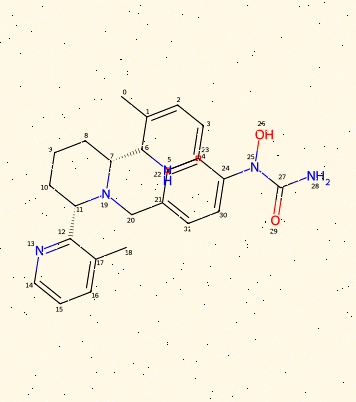 CC1=CC=CNC1[C@H]1CCC[C@@H](c2ncccc2C)N1Cc1ccc(N(O)C(N)=O)cc1